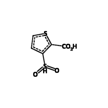 O=C(O)c1sccc1[SH](=O)=O